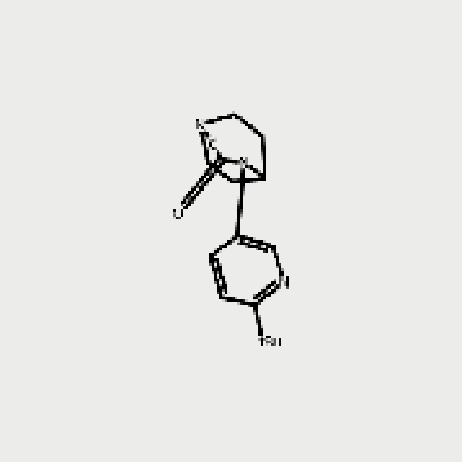 CC(C)(C)c1ccc(N2C(=O)CN3CCC2CC3)cn1